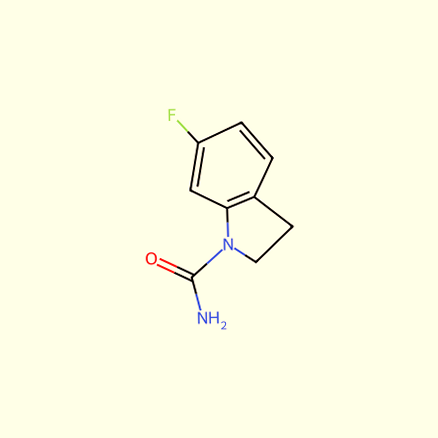 NC(=O)N1CCc2ccc(F)cc21